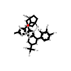 Cc1noc(N2C[C@H]3CC[C@@H](C2)C3Nc2nc3n(n2)CC(C(F)(F)F)CC3c2ccc(F)c(F)c2F)n1